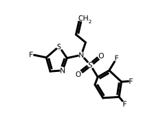 C=CCN(c1ncc(F)s1)S(=O)(=O)c1ccc(F)c(F)c1F